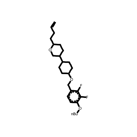 C=CCCC1CCC(C2CCC(OCc3ccc(OCCCC)c(F)c3F)CC2)CO1